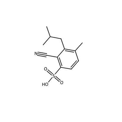 Cc1ccc(S(=O)(=O)O)c(C#N)c1CC(C)C